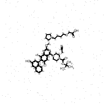 CC(C)(C)OC(=O)N1CCN(c2nc(OC[C@@H]3CCCN3CCCCOCC(=O)O)nc3c(F)c(-c4cc(O)cc5ccccc45)c(Cl)cc23)C[C@@H]1CC#N